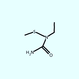 CCN(SC)C(N)=O